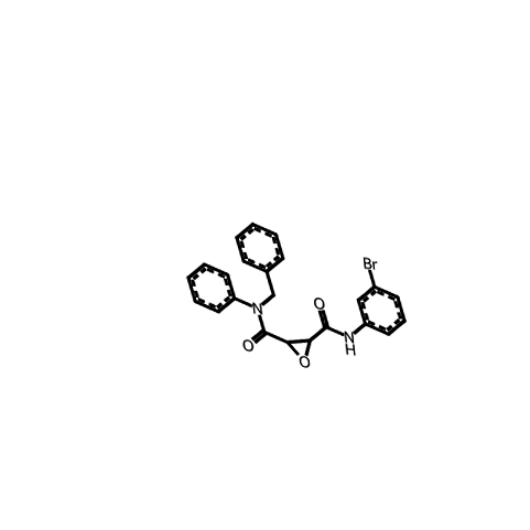 O=C(Nc1cccc(Br)c1)C1OC1C(=O)N(Cc1ccccc1)c1ccccc1